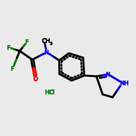 CN(C(=O)C(F)(F)F)c1ccc(C2=NNCC2)cc1.Cl